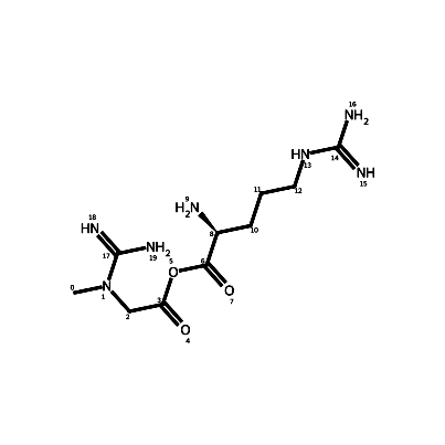 CN(CC(=O)OC(=O)[C@@H](N)CCCNC(=N)N)C(=N)N